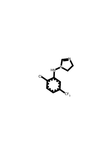 FC(F)(F)c1ccc(Cl)c(NN2C=NCC2)c1